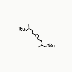 CC(C=COC=CC(C)CC(C)(C)C)CC(C)(C)C